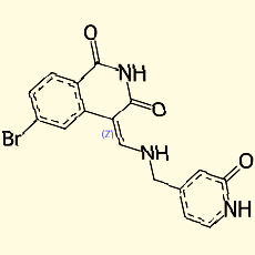 O=C1NC(=O)c2ccc(Br)cc2/C1=C/NCc1cc[nH]c(=O)c1